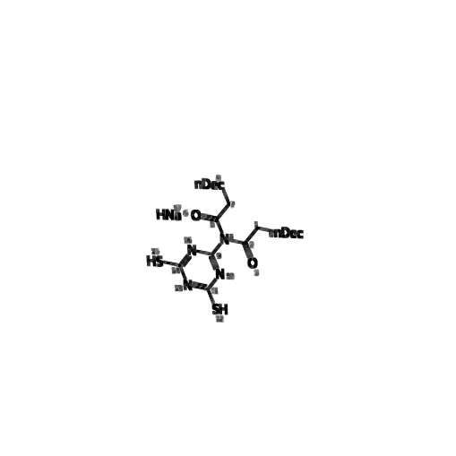 CCCCCCCCCCCC(=O)N(C(=O)CCCCCCCCCCC)c1nc(S)nc(S)n1.[NaH]